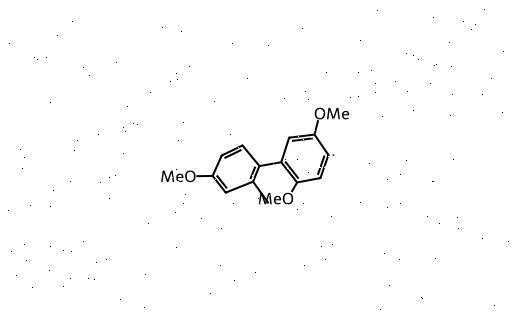 COc1[c]cc(OC)c(-c2ccc(OC)cc2C)c1